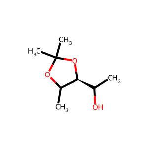 CC(O)[C@@H]1OC(C)(C)OC1C